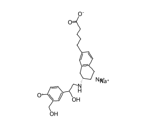 O=C([O-])CCCCc1ccc2c(c1)C[C@@H](NCC(O)c1ccc([O-])c(CO)c1)CC2.[Na+].[Na+]